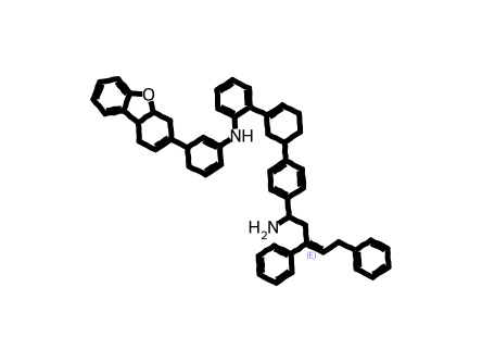 NC(C/C(=C\Cc1ccccc1)c1ccccc1)c1ccc(C2CCC=C(c3ccccc3NC3=CC(C4=CCC5c6ccccc6OC5C4)CC=C3)C2)cc1